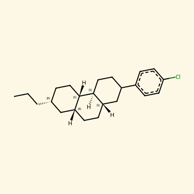 CCC[C@@H]1CC[C@H]2[C@H](CC[C@H]3CC(c4ccc(Cl)cc4)CC[C@@H]32)C1